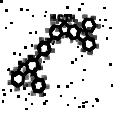 CC1(C)C2CC3=C(C=C2C2C=C(c4ccc(C5=NC6SC7=CC=CCC7C6C(c6ccccc6)=N5)cc4)C=CC21)C1=CCCC=C1C31CCCCC1